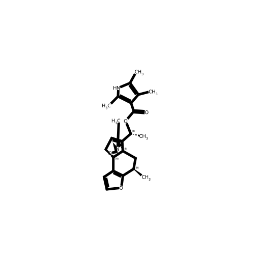 Cc1[nH]c(C)c(C(=O)O[C@H](C)C2=CC[C@@]34OCCN(C)C[C@@]23C[C@@H](C)c2occc24)c1C